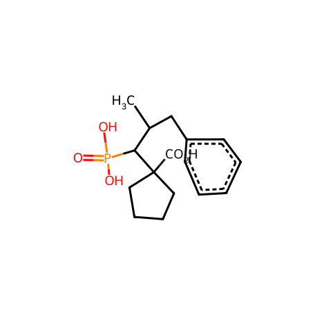 CC(Cc1ccccc1)C(C1(C(=O)O)CCCC1)P(=O)(O)O